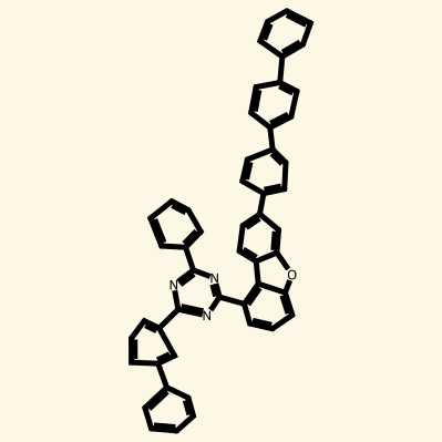 c1ccc(-c2ccc(-c3ccc(-c4ccc5c(c4)oc4cccc(-c6nc(-c7ccccc7)nc(-c7cccc(-c8ccccc8)c7)n6)c45)cc3)cc2)cc1